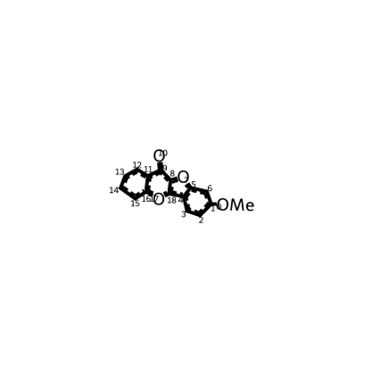 COc1ccc2c(c1)oc1c(=O)c3ccccc3oc12